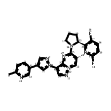 Cc1ccc(-c2cnn(-c3cnn4ccc(N5CCC[C@H]5c5nc(F)ccc5F)nc34)c2)cn1